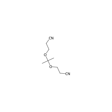 CC(C)(OCCC#N)OCCC#N